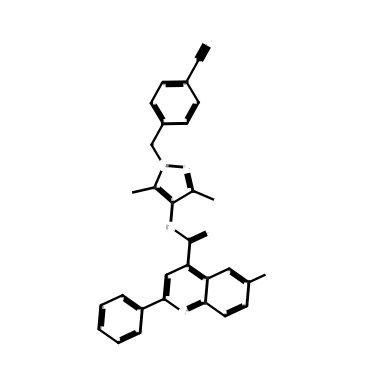 Cc1nn(Cc2ccc(C#N)cc2)c(C)c1NC(=O)c1cc(-c2ccccc2)nc2ccc(O)cc12